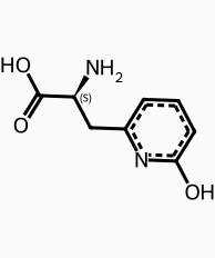 N[C@@H](Cc1cccc(O)n1)C(=O)O